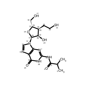 CC(C)C(=O)Nc1nc2c(ncn2[C@H]2O[C@H](CO)[C@@H](CCS)[C@H]2O)c(=O)[nH]1